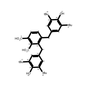 CC(C)(C)c1cc(Cc2ccc(C(=O)O)c(C(=O)O)c2Cc2cc(C(C)(C)C)c(O)c(C(C)(C)C)c2)cc(C(C)(C)C)c1O